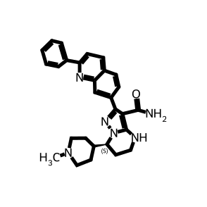 CN1CCC([C@@H]2CCNc3c(C(N)=O)c(-c4ccc5ccc(-c6ccccc6)nc5c4)nn32)CC1